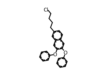 ClCCCCc1ccc2cc(Oc3ccccc3)c(Oc3ccccc3)cc2c1